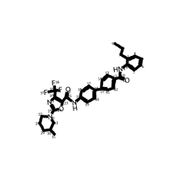 CCCc1ccccc1NC(=O)c1ccc(-c2ccc(NC(=O)c3oc(N4CCCC(C)C4)nc3C(F)(F)F)cc2)cc1